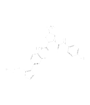 COC1CC(C(=O)Nc2ccc(-c3ccsc3OC(=O)O)cc2F)N(C(=O)Nc2ccc(Cl)cc2)C1